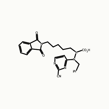 CC(C)CN(c1ccnc(C#N)n1)N(CCCCCN1C(=O)c2ccccc2C1=O)C(=O)O